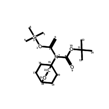 C=C(O[Si](C)(C)C)N(C(=O)OC(C)(C)C)C12CCC(CC1)OC2